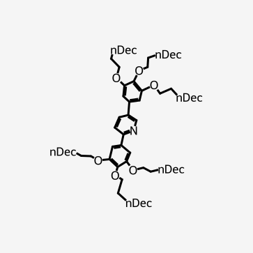 CCCCCCCCCCCCOc1cc(-c2ccc(-c3cc(OCCCCCCCCCCCC)c(OCCCCCCCCCCCC)c(OCCCCCCCCCCCC)c3)nc2)cc(OCCCCCCCCCCCC)c1OCCCCCCCCCCCC